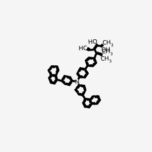 C#C/C(C(=C(C)C)c1ccc(-c2ccc(N(c3ccc(-c4cccc5ccccc45)cc3)c3ccc(-c4cccc5ccccc45)cc3)cc2)cc1)=C(\O)C(=C)O